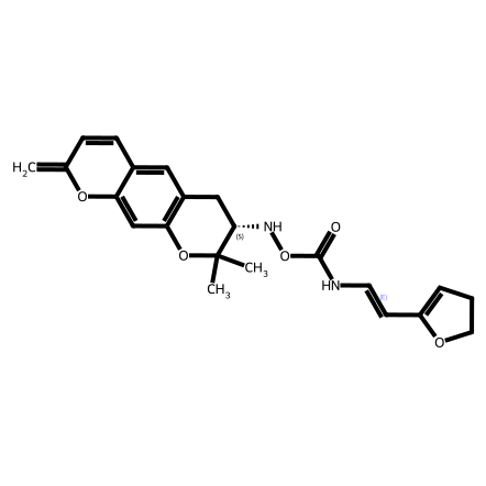 C=C1C=Cc2cc3c(cc2O1)OC(C)(C)[C@@H](NOC(=O)N/C=C/C1=CCCO1)C3